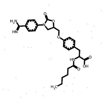 CCCCCC(=O)NC(Cc1ccc(OCC2CN(c3ccc(C(=N)N)cc3)C(=O)O2)cc1)C(=O)O